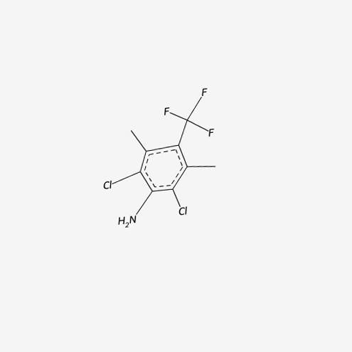 Cc1c(Cl)c(N)c(Cl)c(C)c1C(F)(F)F